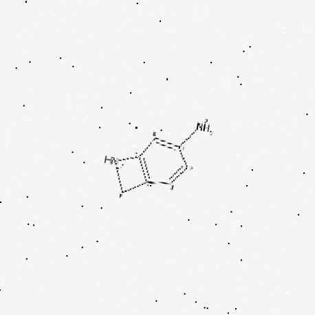 Nc1ccc2c(c1)NC2